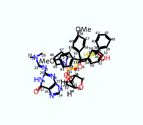 COc1ccc(C(OC[C@@]23CO[C@@H]([C@H](n4cnc5c(=O)[nH]c(N=CN(C)C)nc54)O2)[C@@H]3OP(SCC[SH]=C(O)c2ccccc2)N2CCCC2)(c2ccccc2)c2ccc(OC)cc2)cc1